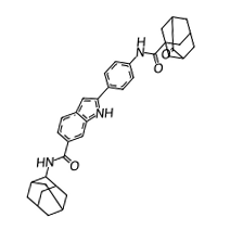 O=C(NC1C2CC3CC(C2)CC1C3)c1ccc2cc(-c3ccc(NC(=O)C45CC6CC(C4)C(=O)C(C6)C5)cc3)[nH]c2c1